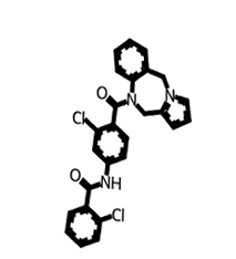 O=C(Nc1ccc(C(=O)N2Cc3cccn3Cc3ccccc32)c(Cl)c1)c1ccccc1Cl